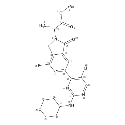 C[C@H](C(=O)OC(C)(C)C)N1Cc2c(F)cc(-c3nc(NC4CCOCC4)ncc3Cl)cc2C1=O